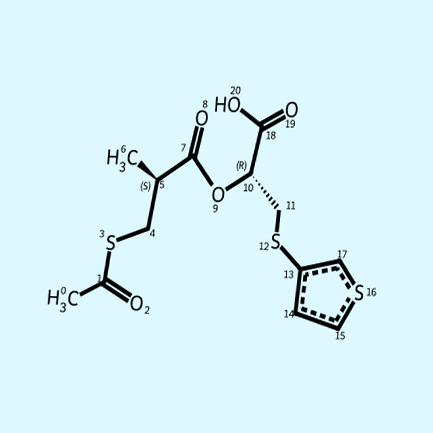 CC(=O)SC[C@@H](C)C(=O)O[C@@H](CSc1ccsc1)C(=O)O